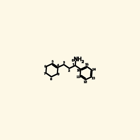 NC(CCC1=CCCCC1)c1[c]cccc1